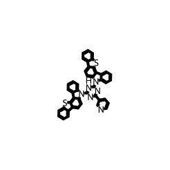 c1cncc(C2=NC(n3c4ccccc4c4c5sc6ccccc6c5ccc43)NC(n3c4ccccc4c4c5sc6ccccc6c5ccc43)=N2)c1